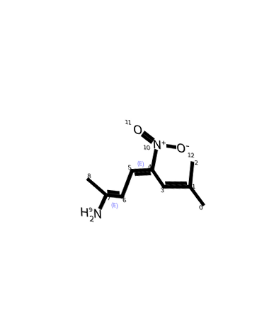 CC(C)=C/C(=C\C=C(/C)N)[N+](=O)[O-]